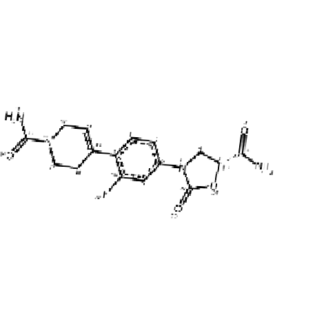 NC(=O)[C@H]1CN(c2ccc(C3=CCN(C(N)=O)CC3)c(F)c2)C(=O)O1